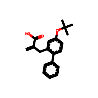 C=C(Cc1cc(OC(C)(C)C)ccc1-c1ccccc1)C(=O)O